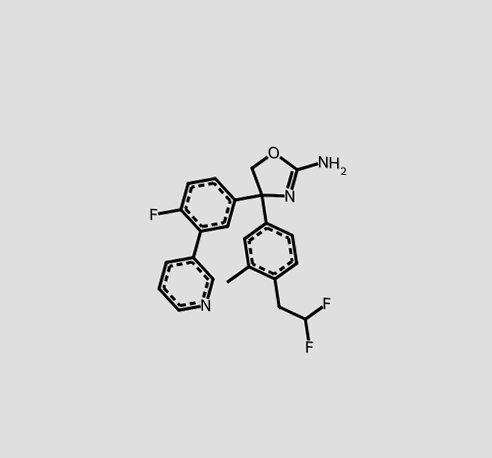 Cc1cc(C2(c3ccc(F)c(-c4cccnc4)c3)COC(N)=N2)ccc1CC(F)F